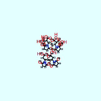 O=C(O)C(C(SSC(C(C(=O)O)S(=O)(=O)O)N1C(=O)CCC1=O)N1C(=O)CCC1=O)S(=O)(=O)O.O=C(O)CC(SSC(CC(=O)O)N1C(=O)CCC1=O)N1C(=O)CCC1=O